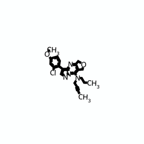 CC#CCN(CCC)c1c2c(nc3c(-c4ccc(OC)cc4Cl)cnn13)COC2